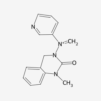 C=[N+](c1cccnc1)N1Cc2ccccc2N(C)C1=O